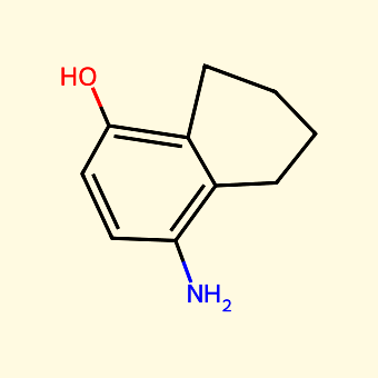 Nc1ccc(O)c2c1CCCC2